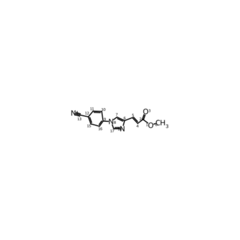 COC(=O)C=Cc1cn(-c2ccc(C#N)cc2)cn1